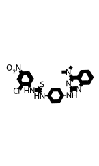 CN(C)c1nc(N[C@H]2CC[C@@H](NC(=S)Nc3ccc([N+](=O)[O-])cc3Cl)CC2)nc2ccccc12